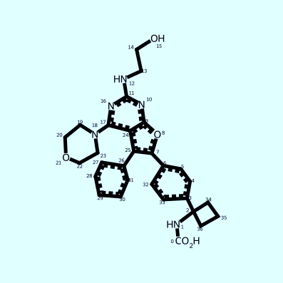 O=C(O)NC1(c2ccc(-c3oc4nc(NCCO)nc(N5CCOCC5)c4c3-c3ccccc3)cc2)CCC1